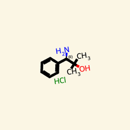 CC(C)(O)[C@H](N)c1ccccc1.Cl